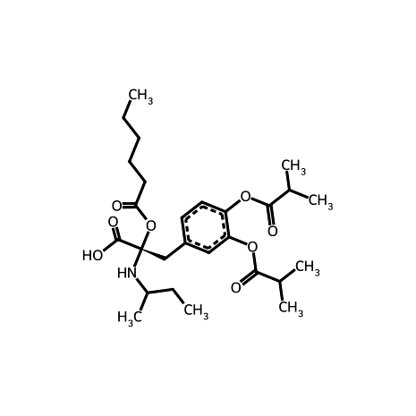 CCCCCC(=O)O[C@](Cc1ccc(OC(=O)C(C)C)c(OC(=O)C(C)C)c1)(NC(C)CC)C(=O)O